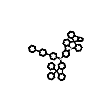 c1ccc(-c2ccc(-c3ccc(N(c4ccc5c(c4)C(c4ccccc4)(c4ccccc4)c4ccccc4-5)c4ccc5c(c4)c4cccc6c4n5-c4ccccc4C64c5ccccc5-c5ccccc54)cc3)cc2)cc1